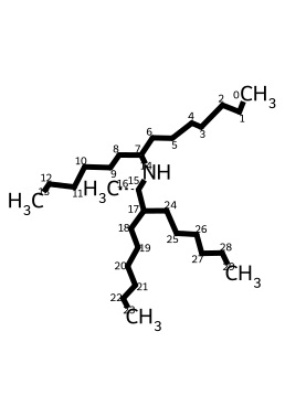 CCCCCCCC(CCCCCC)N[C@@H](C)C(CCCCCC)CCCCCC